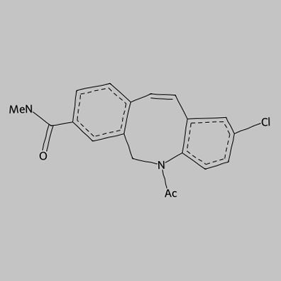 CNC(=O)c1ccc2c(c1)CN(C(C)=O)c1ccc(Cl)cc1/C=C\2